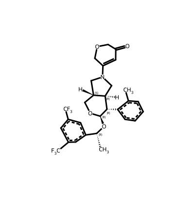 Cc1ccccc1[C@@H]1[C@@H](O[C@H](C)c2cc(C(F)(F)F)cc(C(F)(F)F)c2)OC[C@@H]2CN(C3=CC(=O)COC3)C[C@H]21